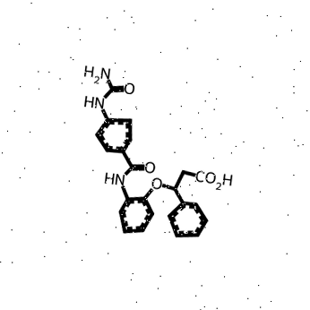 NC(=O)Nc1ccc(C(=O)Nc2ccccc2OC(CC(=O)O)c2ccccc2)cc1